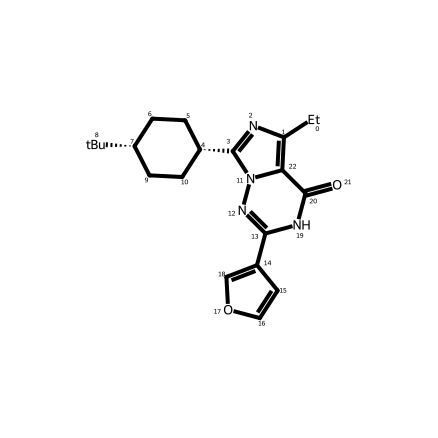 CCc1nc([C@H]2CC[C@@H](C(C)(C)C)CC2)n2nc(-c3ccoc3)[nH]c(=O)c12